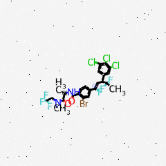 C[C@@H](NC(=O)c1ccc(/C(F)=C/C(c2cc(Cl)c(Cl)c(Cl)c2)C(C)(F)F)cc1Br)C(=O)N(C)CC(F)(F)F